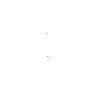 CCCCC[Si@H]1CC[C@H](CCCC[C@H]2CC[C@H](c3ccc(OCCF)cc3)CC2)CC1